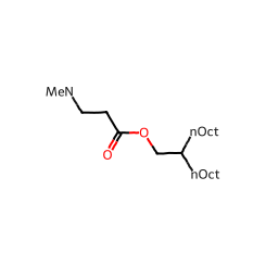 CCCCCCCCC(CCCCCCCC)COC(=O)CCNC